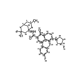 CCC1(F)CC2CC(C)CC(NC(=O)c3cn(-c4ccc(F)cc4F)c4nc(N5CC[C@H](F)C5)ccc4c3=O)(C2)C1